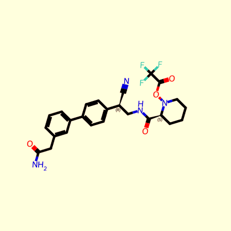 N#C[C@@H](CNC(=O)[C@@H]1CCCCN1OC(=O)C(F)(F)F)c1ccc(-c2cccc(CC(N)=O)c2)cc1